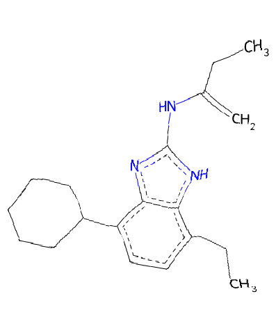 C=C(CC)Nc1nc2c(C3CCCCC3)ccc(CC)c2[nH]1